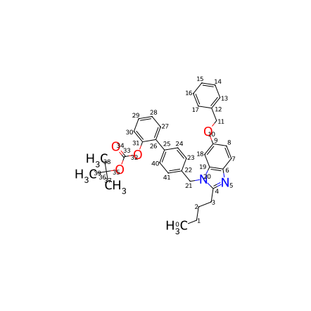 CCCCc1nc2ccc(OCc3ccccc3)cc2n1Cc1ccc(-c2ccccc2OC(=O)OC(C)(C)C)cc1